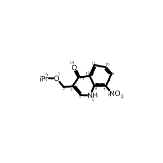 CC(C)OCc1c[nH]c2c([N+](=O)[O-])cccc2c1=O